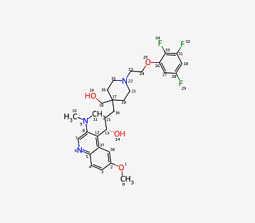 COc1ccc2ncc(N(C)C)c([C@@H](O)CCC3(CO)CCN(CCOc4cc(F)cc(F)c4F)CC3)c2c1